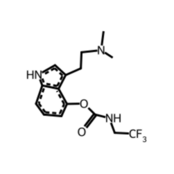 CN(C)CCc1c[nH]c2cccc(OC(=O)NCC(F)(F)F)c12